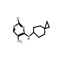 Cc1cnc(Cl)nc1NC1CCC2(CC1)CC2